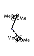 COC1=CC(=O)C(OC)=C(CCCCCCC/C=C\CCCCCCCC2=C(OC)C(=O)C(C)=C(OC)C2=O)C1=O